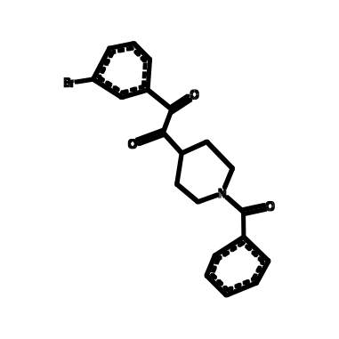 O=C(C(=O)C1CCN(C(=O)c2ccccc2)CC1)c1cccc(Br)c1